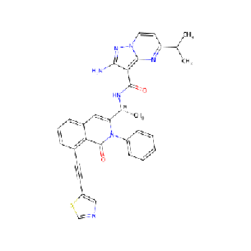 CC(C)c1ccn2nc(N)c(C(=O)N[C@H](C)c3cc4cccc(C#Cc5cncs5)c4c(=O)n3-c3ccccc3)c2n1